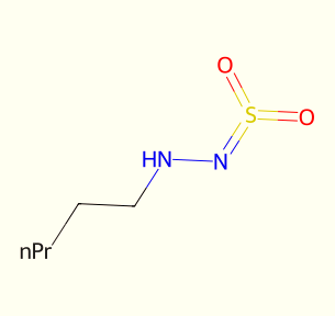 CCCCCNN=S(=O)=O